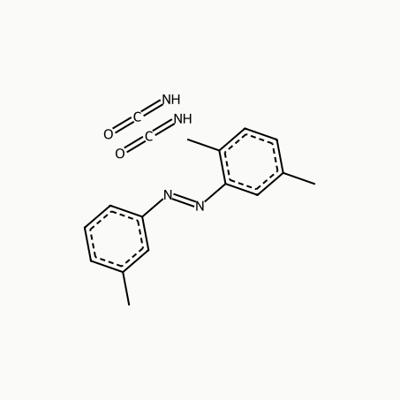 Cc1cccc(N=Nc2cc(C)ccc2C)c1.N=C=O.N=C=O